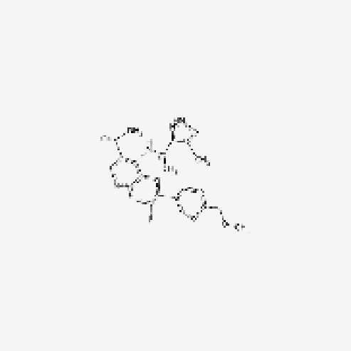 COCc1ccc(-c2cc3c(N[C@H](C)c4n[nH]cc4C)c(C(N)=O)cnc3cc2F)cn1